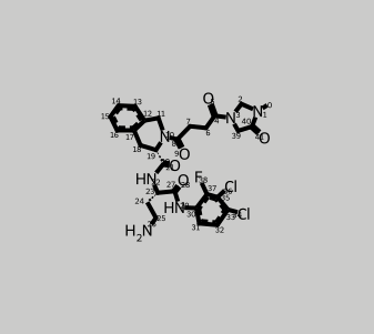 CN1CN(C(=O)CCC(=O)N2Cc3ccccc3C[C@H]2C(=O)N[C@@H](CCN)C(=O)Nc2ccc(Cl)c(Cl)c2F)CC1=O